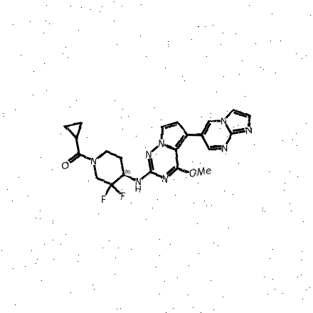 COc1nc(N[C@@H]2CCN(C(=O)C3CC3)CC2(F)F)nn2ccc(-c3cnc4nccn4c3)c12